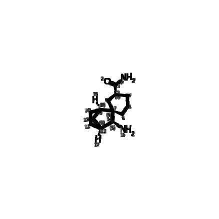 NC(=O)[C@H]1CCC[C@]2(C1)[C@@H]1CC[C@@H](C1)[C@@H]2N